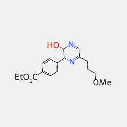 CCOC(=O)c1ccc(C2N=C(CCCOC)C=NC2O)cc1